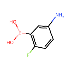 Nc1ccc(F)c(B(O)O)c1